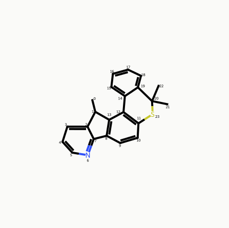 CC1c2cccnc2-c2ccc3c(c21)-c1ccccc1C(C)(C)S3